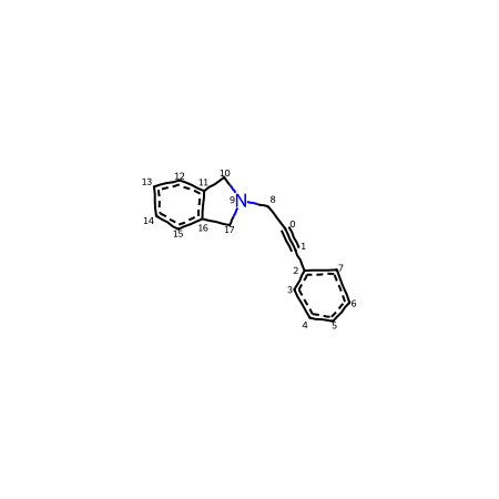 C(#Cc1ccccc1)CN1Cc2ccccc2C1